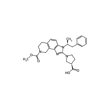 COC(=O)N1CCc2ccc3c(nc(N4CC[C@@H](C(=O)O)C4)n3[C@@H](C)Cc3ccccc3)c2C1